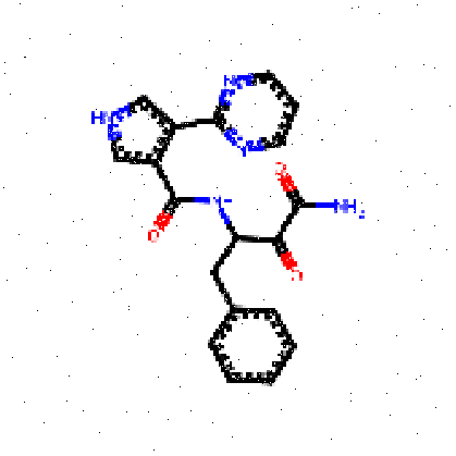 NC(=O)C(=O)C(Cc1ccccc1)NC(=O)c1c[nH]cc1-c1ncccn1